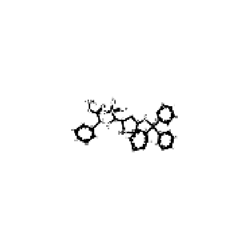 COC(=O)[C@H](OC(C1CC(SC(c2ccccc2)(c2ccccc2)c2ccccc2)CN1)S(C)(=O)=O)c1ccccc1